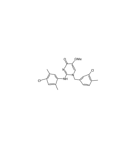 COc1cn(Cc2ccc(C)c(Cl)c2)c(Nc2cc(C)c(Cl)cc2C)nc1=O